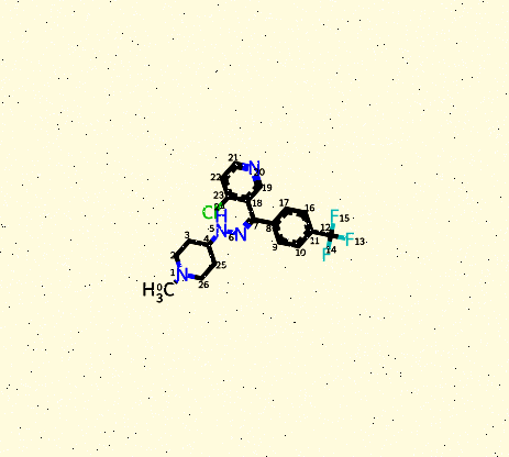 CN1CCC(NN=C(c2ccc(C(F)(F)F)cc2)c2cnccc2Cl)CC1